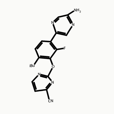 CCC(C)c1ccc(-c2cnc(N)cn2)c(F)c1Oc1nccc(C#N)n1